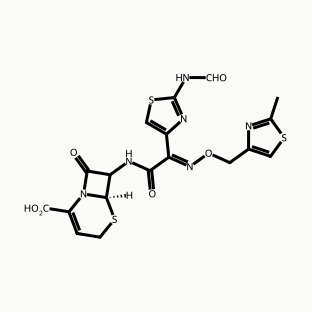 Cc1nc(CO/N=C(/C(=O)NC2C(=O)N3C(C(=O)O)=CCS[C@H]23)c2csc(NC=O)n2)cs1